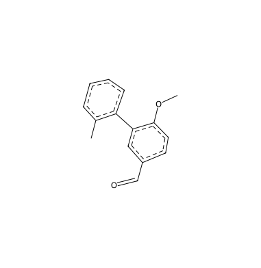 COc1ccc(C=O)cc1-c1ccccc1C